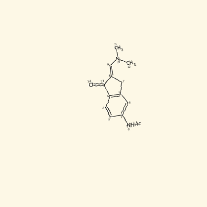 CC(=O)Nc1ccc2c(c1)CC(=CN(C)C)C2=O